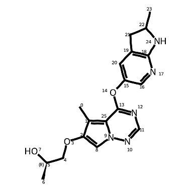 Cc1c(OC[C@@H](C)O)cn2ncnc(Oc3cnc4c(c3)CC(C)N4)c12